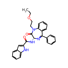 CCOCCN1C(=O)[C@@H](NC(=O)c2cc3ccccc3[nH]2)N=C(c2ccccc2)c2ccccc21